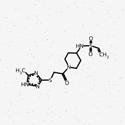 C=CS(=O)(=O)NC1CCN(C(=O)CSc2n[nH]c(C)n2)CC1